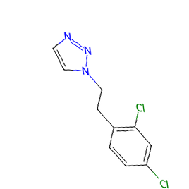 Clc1ccc(CCn2ccnn2)c(Cl)c1